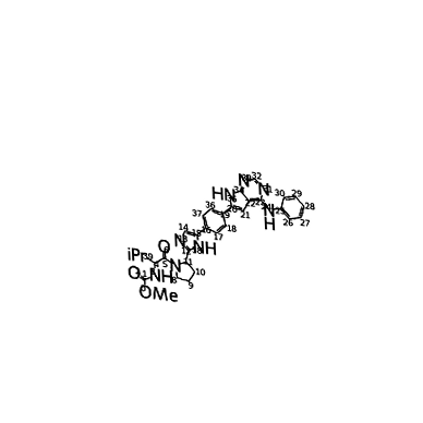 COC(=O)N[C@H](C(=O)N1CCCC1c1ncc(-c2ccc(-c3cc4c(Nc5ccccc5)ncnc4[nH]3)cc2)[nH]1)C(C)C